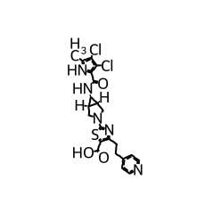 Cc1[nH]c(C(=O)N[C@@H]2[C@@H]3CN(c4nc(CCc5ccncc5)c(C(=O)O)s4)C[C@@H]32)c(Cl)c1Cl